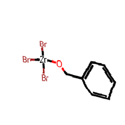 [Br][Zr]([Br])([Br])[O]Cc1ccccc1